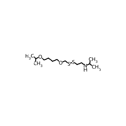 CC(C)NCCSSCOCCCCOC(C)C